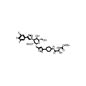 CO[C@@H]1[C@@H](n2cc(-c3cc(F)c(F)c(F)c3)nn2)[C@@H](O)[C@@H](CO)O[C@@H]1Cc1cc(C2CCC(NC(=O)[C@@H](NC(=O)OC(C)(C)C)C(C)C)CC2)no1